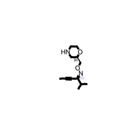 CC#C/C(=N\OC[C@H]1CNCCO1)C(C)C